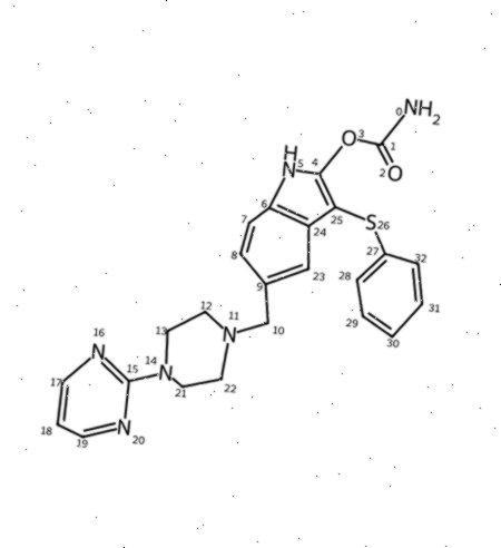 NC(=O)Oc1[nH]c2ccc(CN3CCN(c4ncccn4)CC3)cc2c1Sc1ccccc1